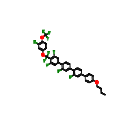 CCCCOc1ccc(-c2ccc(-c3ccc(-c4cc(F)c(C(F)(F)Oc5ccc(OC(F)(F)F)c(F)c5)c(F)c4)c(F)c3)c(F)c2)cc1